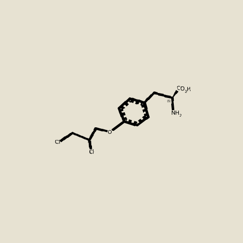 N[C@@H](Cc1ccc(OCC(Cl)CCl)cc1)C(=O)O